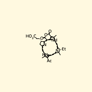 CC[C@H]1c2cc3[nH]c4c(c5nc(cc6[nH]c(cc(n2)C1C)c(C(C)=O)c6C)C[C@@H]5CCC(=O)O)C(=O)OC(=O)c4c3C